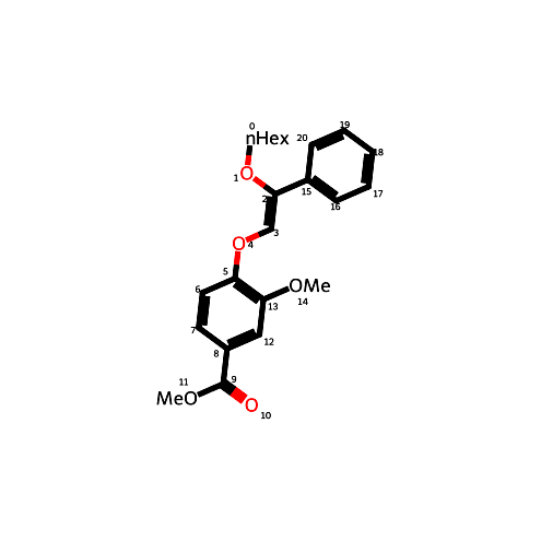 CCCCCCOC(=COc1ccc(C(=O)OC)cc1OC)c1ccccc1